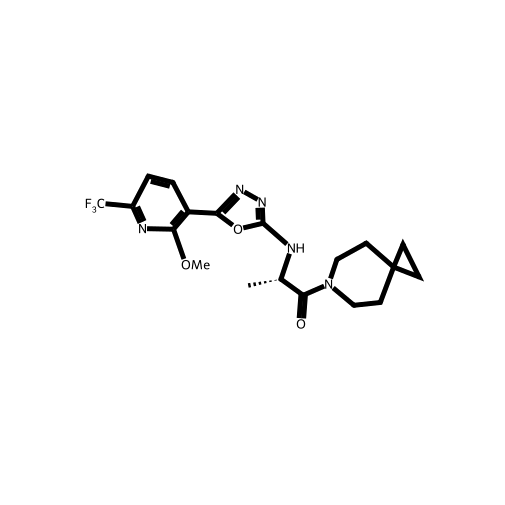 COc1nc(C(F)(F)F)ccc1-c1nnc(N[C@@H](C)C(=O)N2CCC3(CC2)CC3)o1